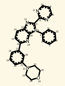 [c]1ccc(-n2c(-c3ncccn3)nc3ccc(-c4cccc(N5CCOCC5)c4)nc32)cc1